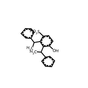 CC(c1ccccc1)c1c(O)ccc(S(=O)(=O)O)c1C(C)c1ccccc1